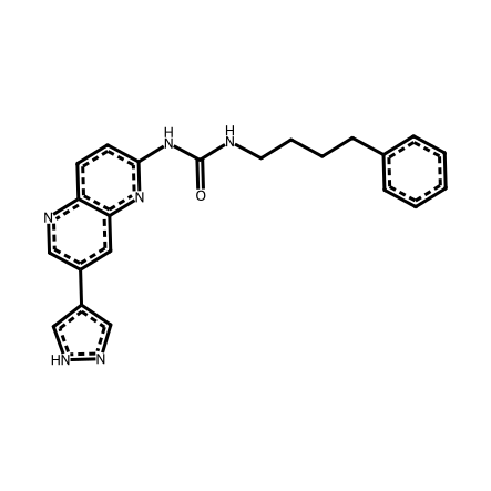 O=C(NCCCCc1ccccc1)Nc1ccc2ncc(-c3cn[nH]c3)cc2n1